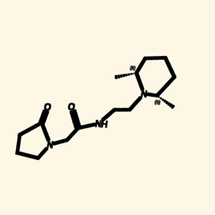 C[C@@H]1CCC[C@H](C)N1CCNC(=O)CN1CCCC1=O